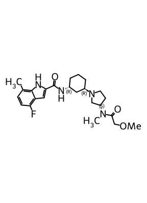 COCC(=O)N(C)[C@H]1CCN([C@@H]2CCC[C@@H](NC(=O)c3cc4c(F)ccc(C)c4[nH]3)C2)C1